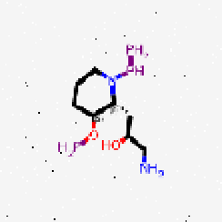 NCC(O)C[C@@H]1[C@@H](OP)CCCN1PP